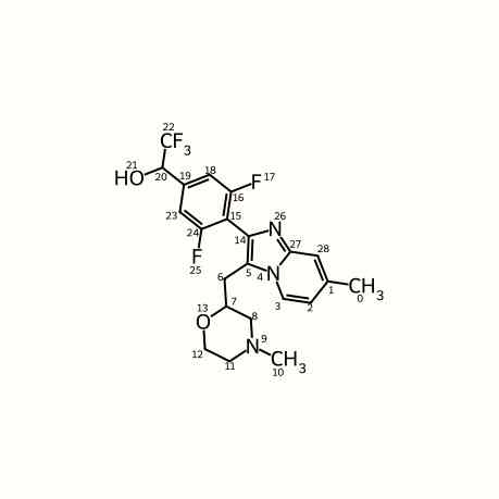 Cc1ccn2c(CC3CN(C)CCO3)c(-c3c(F)cc(C(O)C(F)(F)F)cc3F)nc2c1